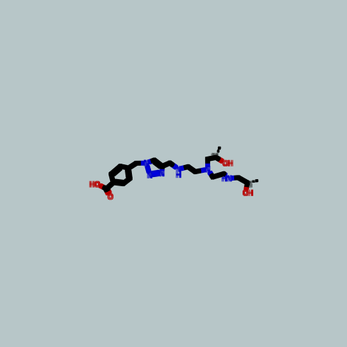 C[C@H](O)CNCCN(CCNCc1cn(Cc2ccc(C(=O)O)cc2)nn1)C[C@H](C)O